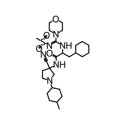 CC1CCC(N2CCC(C#N)(NC(=O)C(CC3CCCCC3)N/C(=N/S(C)(=O)=O)N3CCOCC3)C2)CC1